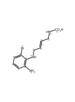 Nc1cccc(Br)c1NC/C=C/CNC(=O)O